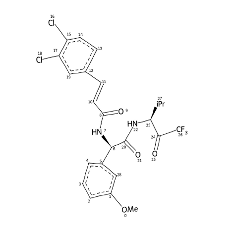 COc1cccc([C@@H](NC(=O)/C=C/c2ccc(Cl)c(Cl)c2)C(=O)N[C@H](C(=O)C(F)(F)F)C(C)C)c1